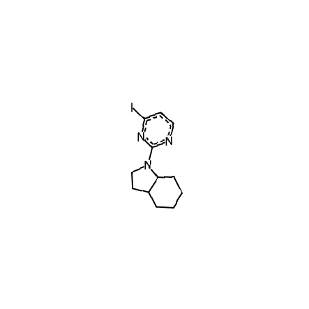 Ic1ccnc(N2CCC3CCCCC32)n1